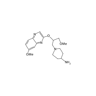 COCC(CN1CCC(N)CC1)Oc1cnc2ccc(OC)cc2n1